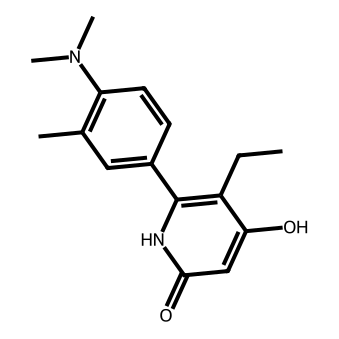 CCc1c(O)cc(=O)[nH]c1-c1ccc(N(C)C)c(C)c1